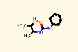 C=C(C(=O)O)C(C)NC(=O)Nc1ccccc1